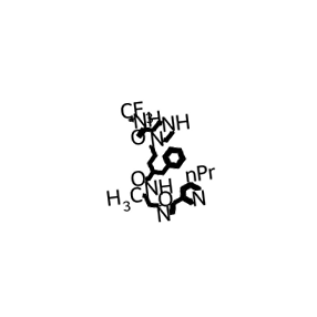 CCCc1cncc(-c2cnc(CC(C)NC(=O)C(CCCN3CCNCC3C(=O)NCC(F)(F)F)Cc3ccccc3)o2)c1